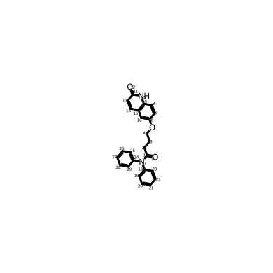 O=C(CCCOc1ccc2[nH]c(=O)ccc2c1)N(c1ccccc1)c1ccccc1